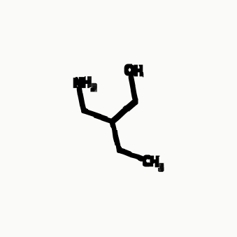 CCC(CN)CO